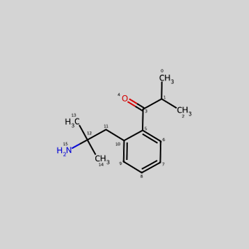 CC(C)C(=O)c1ccccc1CC(C)(C)N